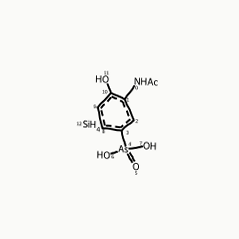 CC(=O)Nc1cc([As](=O)(O)O)ccc1O.[SiH4]